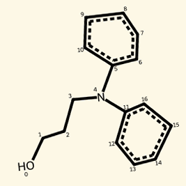 OCCCN(c1ccccc1)c1ccccc1